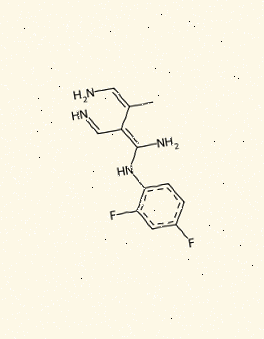 CC(=C/N)/C(C=N)=C(\N)Nc1ccc(F)cc1F